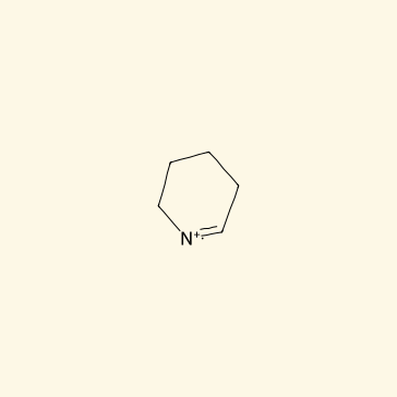 C1=[N+]CCCC1